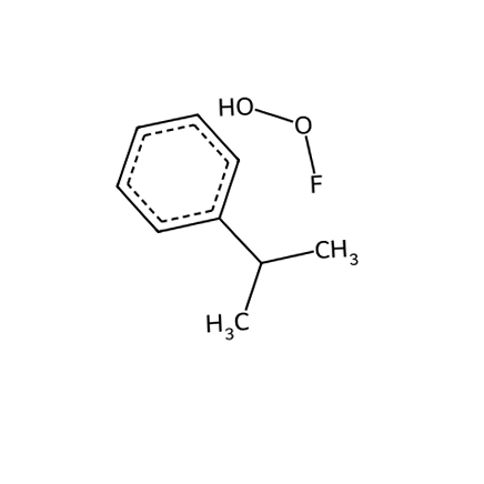 CC(C)c1ccccc1.OOF